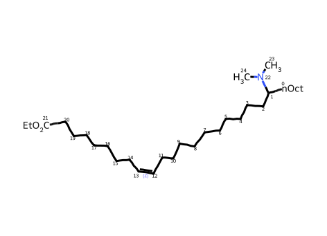 CCCCCCCCC(CCCCCCCCCC/C=C\CCCCCCCC(=O)OCC)N(C)C